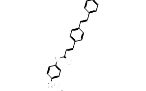 O=C(/C=C/c1ccc(C=Cc2ccccc2)cc1)Oc1ccc([N+](=O)[O-])cc1